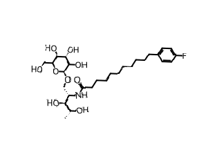 C[C@@H](O)[C@@H](O)[C@H](CO[C@H]1OC(CO)[C@@H](O)[C@H](O)C1O)NC(=O)CCCCCCCCCCc1ccc(F)cc1